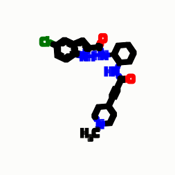 CN1CCC(C#CC(=O)N[C@@H]2CCCC[C@@H]2NC(=O)c2cc3cc(Cl)ccc3[nH]2)CC1